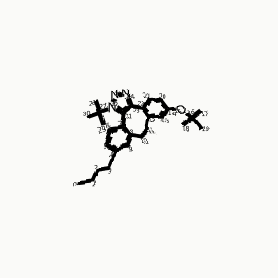 CCCCc1ccc2c(c1)CCc1cc(OC(C)(C)C)ccc1-c1nnn(C(C)(C)C)c1-2